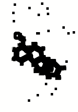 O=Cc1cccc2c3c(ccc12)C1C2C=CC(C2)C1C3